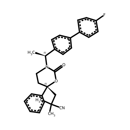 C[C@@H](c1ccc(-c2ccc(F)cc2)cc1)N1CC[C@@](CC(C)(C)C#N)(c2ccccc2)OC1=O